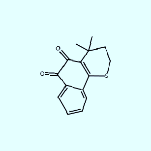 CC1(C)CCSC2=C1C(=O)C(=O)c1ccccc12